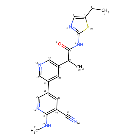 CCc1cnc(NC(=O)C(C)c2cncc(-c3cnc(NC)c(C#N)c3)c2)s1